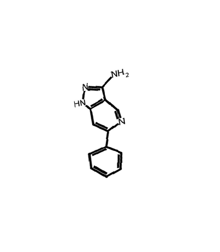 Nc1n[nH]c2cc(-c3ccccc3)ncc12